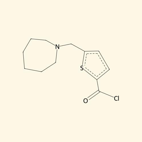 O=C(Cl)c1ccc(CN2CCCCCC2)s1